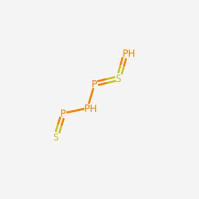 P=S=PPP=S